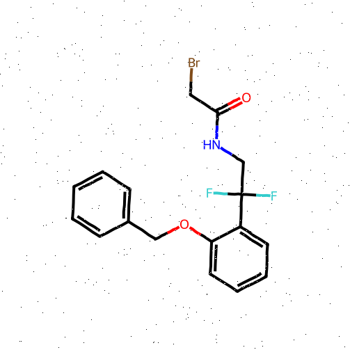 O=C(CBr)NCC(F)(F)c1ccccc1OCc1ccccc1